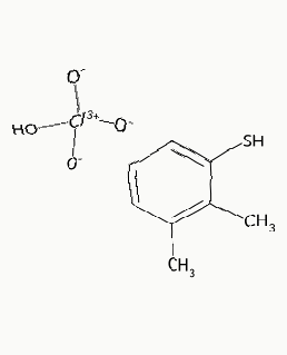 Cc1cccc(S)c1C.[O-][Cl+3]([O-])([O-])O